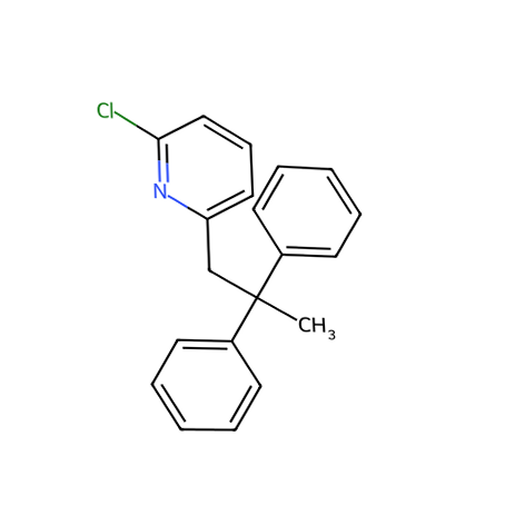 CC(Cc1cccc(Cl)n1)(c1ccccc1)c1ccccc1